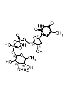 CC(=O)N[C@@H]1C(O)[C@@H](OP(=O)(O)OP(=O)(O)OC[C@H]2O[C@@H](n3cc(C)c(=O)[nH]c3=O)C[C@H]2O)OC(C)[C@H]1O